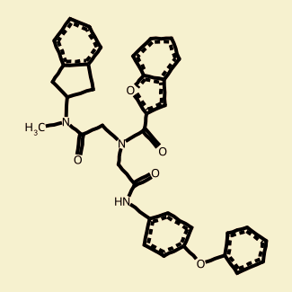 CN(C(=O)CN(CC(=O)Nc1ccc(Oc2ccccc2)cc1)C(=O)c1cc2ccccc2o1)C1Cc2ccccc2C1